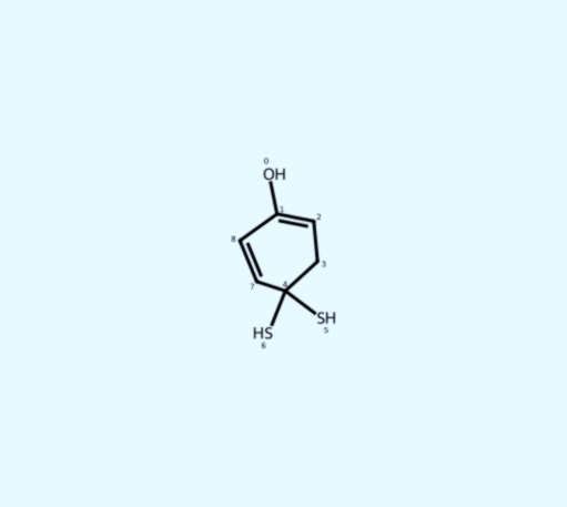 OC1=CCC(S)(S)C=C1